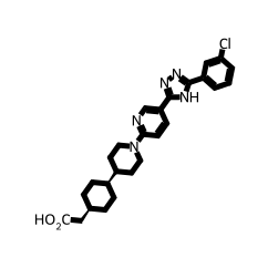 O=C(O)C[C@H]1CC[C@@H](C2CCN(c3ccc(-c4nnc(-c5cccc(Cl)c5)[nH]4)cn3)CC2)CC1